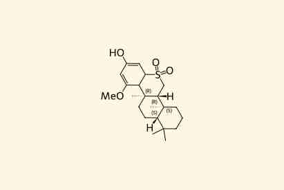 COC1=CC(O)=CC2C1[C@]1(C)CC[C@H]3C(C)(C)CCC[C@]3(C)[C@H]1CS2(=O)=O